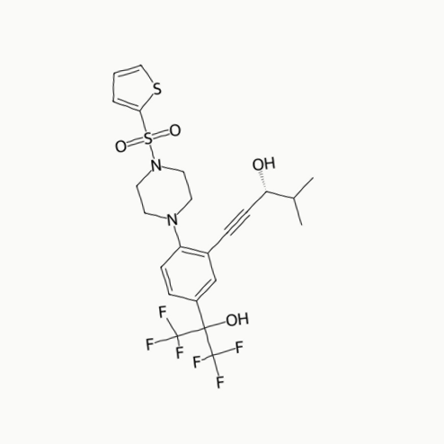 CC(C)[C@@H](O)C#Cc1cc(C(O)(C(F)(F)F)C(F)(F)F)ccc1N1CCN(S(=O)(=O)c2cccs2)CC1